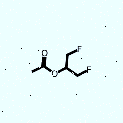 CC(=O)OC(CF)CF